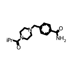 CC(C)C(=O)N1CCN(Cc2ccc(C(N)=O)cc2)CC1